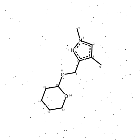 Cc1cn(C)nc1COC1CCCCO1